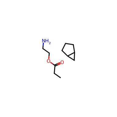 C1CC2CC2C1.CCC(=O)OCCN